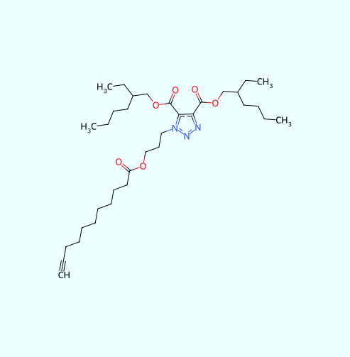 C#CCCCCCCCCC(=O)OCCCn1nnc(C(=O)OCC(CC)CCCC)c1C(=O)OCC(CC)CCCC